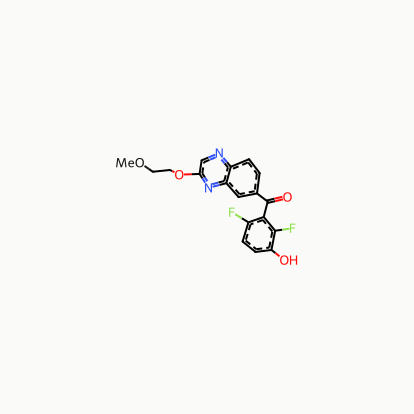 COCCOc1cnc2ccc(C(=O)c3c(F)ccc(O)c3F)cc2n1